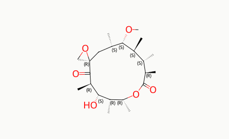 CO[C@@H]1[C@@H](C)[C@H](C)[C@@H](C)C(=O)O[C@H](C)[C@H](C)[C@H](O)[C@@H](C)C(=O)[C@]2(CO2)C[C@@H]1C